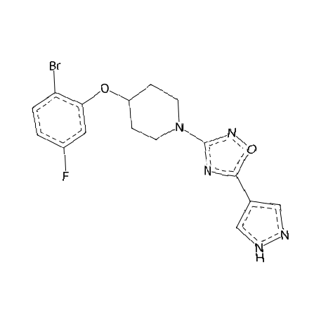 Fc1ccc(Br)c(OC2CCN(c3noc(-c4cn[nH]c4)n3)CC2)c1